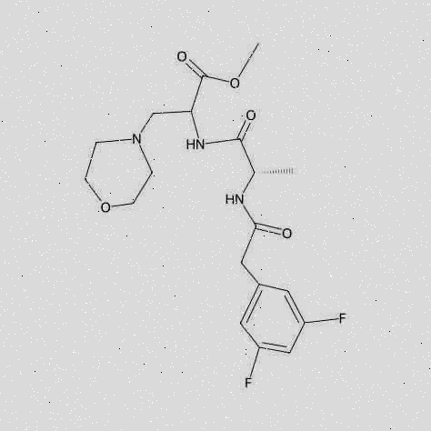 COC(=O)C(CN1CCOCC1)NC(=O)[C@H](C)NC(=O)Cc1cc(F)cc(F)c1